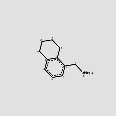 CCCCCCCCc1cccc2c1CCCC2